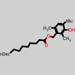 CCCCCCCCCCCCCCCCCC(=O)OCc1c(C)cc(C(C)(C)C)c(O)c1C